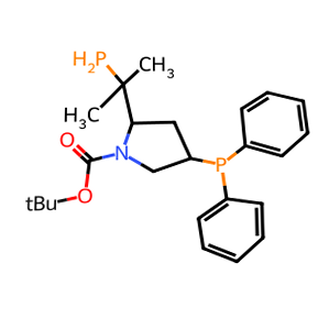 CC(C)(C)OC(=O)N1CC(P(c2ccccc2)c2ccccc2)CC1C(C)(C)P